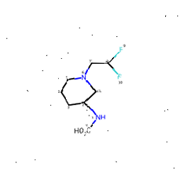 O=C(O)NC1CCCN(CC(F)F)C1